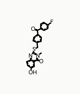 Cn1c(SCc2ccc(C(=O)c3ccc(F)cc3)cc2)nc2ccc(O)cc2c1=O